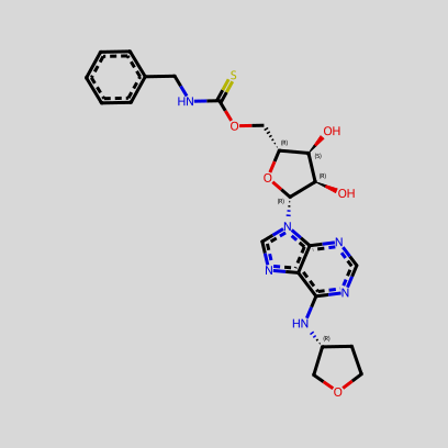 O[C@@H]1[C@H](O)[C@@H](COC(=S)NCc2ccccc2)O[C@H]1n1cnc2c(N[C@@H]3CCOC3)ncnc21